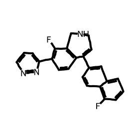 Fc1c(-c2cccnn2)ccc2c1CNCC=C2c1ccc2c(F)cccc2c1